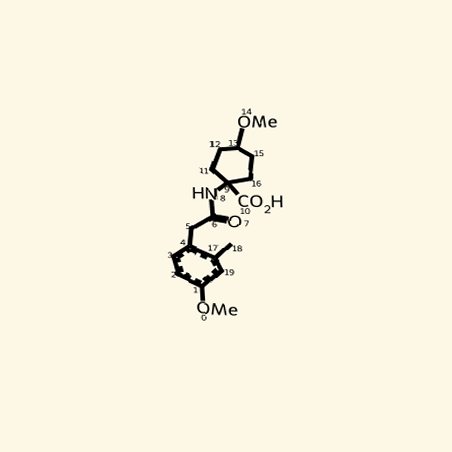 COc1ccc(CC(=O)NC2(C(=O)O)CCC(OC)CC2)c(C)c1